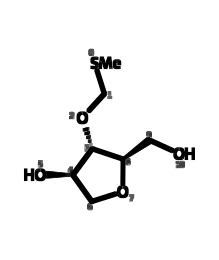 CSCO[C@H]1[C@H](O)CO[C@@H]1CO